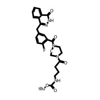 CC(C)(C)OC(=O)NCCCC(=O)N1CCN(C(=O)c2cc(Cc3n[nH]c(=O)c4ccccc34)ccc2F)CC1